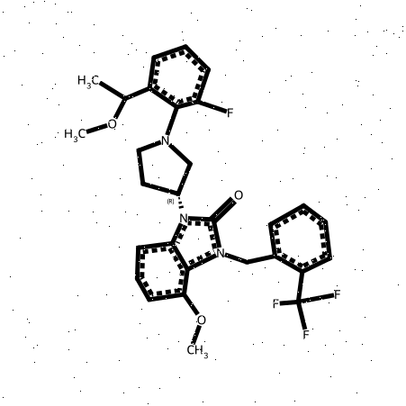 COc1cccc2c1n(Cc1ccccc1C(F)(F)F)c(=O)n2[C@@H]1CCN(c2c(F)cccc2C(C)OC)C1